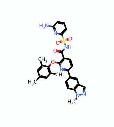 Cc1cc(C)c(Oc2nc(-c3ccc4c(cnn4C)c3)ccc2C(=O)NS(=O)(=O)c2cccc(N)n2)c(C)c1